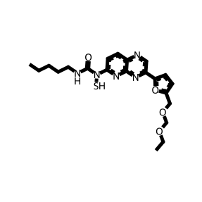 CCCCCNC(=O)N(S)c1ccc2ncc(-c3ccc(COCOCC)o3)nc2n1